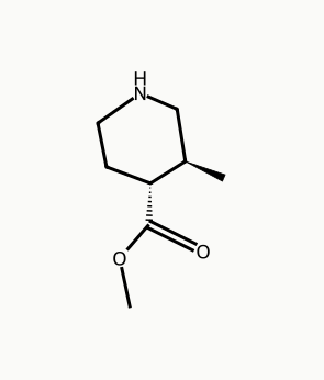 COC(=O)[C@@H]1CCNC[C@H]1C